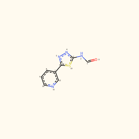 O=CNc1nnc(-c2cccnc2)s1